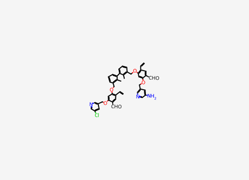 C=Cc1cc(C=O)c(OCc2cncc(N)c2)cc1OCc1cccc(-c2cccc(COc3cc(OCc4cncc(Cl)c4)c(C=O)cc3C=C)c2C)c1C